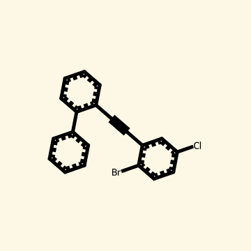 Clc1ccc(Br)c(C#Cc2ccccc2-c2ccccc2)c1